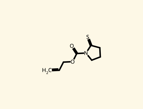 C=CCOC(=O)N1CCCC1=S